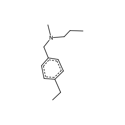 CCCN(C)Cc1ccc(CC)cc1